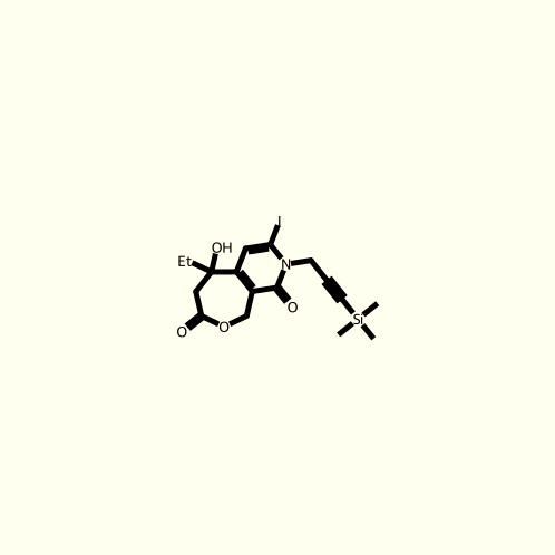 CCC1(O)CC(=O)OCc2c1cc(I)n(CC#C[Si](C)(C)C)c2=O